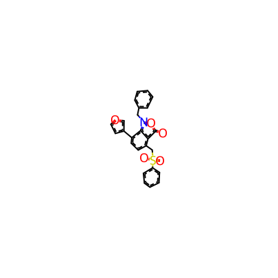 O=c1on(Cc2ccccc2)c2c(-c3ccoc3)ccc(CS(=O)(=O)c3ccccc3)c12